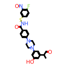 CC(C=O)c1cc(O)cc(N2CCN(c3ccc(C(=O)NSc4ccc(F)c(N=O)c4)cc3)CC2)c1